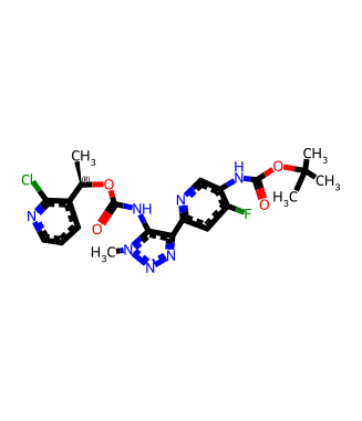 C[C@@H](OC(=O)Nc1c(-c2cc(F)c(NC(=O)OC(C)(C)C)cn2)nnn1C)c1cccnc1Cl